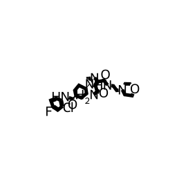 NC(=O)c1c(C(=O)NCCN2CCOCC2)ncn1[C@H]1CC[C@H](C(=O)Nc2ccc(F)cc2Cl)CC1